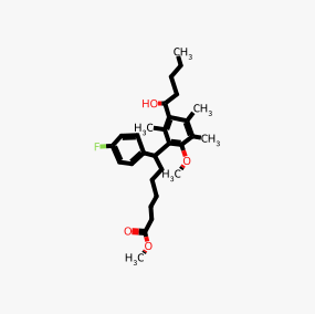 CCCCC(O)c1c(C)c(C)c(OC)c(C(CCCCCC(=O)OC)c2ccc(F)cc2)c1C